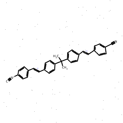 [C-]#[N+]c1ccc(/C=C/c2ccc(C(C)(C)c3ccc(/C=C/c4ccc(C#N)cc4)cc3)cc2)cc1